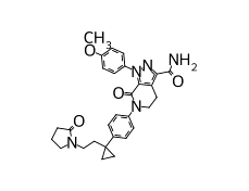 COc1ccc(-n2nc(C(N)=O)c3c2C(=O)N(c2ccc(C4(CCN5CCCC5=O)CC4)cc2)CC3)cc1